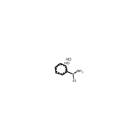 CCN(N)c1ccccc1.Cl.Cl